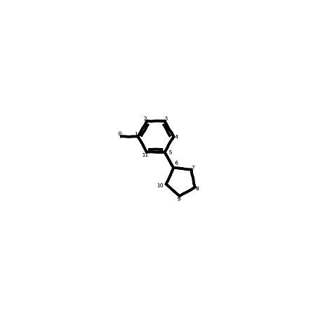 Cc1cc[c]c(C2CCCC2)c1